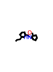 CCCc1cccc(C(=O)Nc2ccccc2C)c1